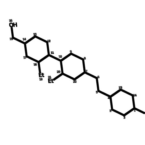 CCCC1CCC(CCC2CCC(C3CCC(CO)CC3CC)C(CC)C2)CC1